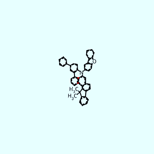 CC1(C)c2ccccc2-c2ccc3cc(N(c4ccc5oc6ccccc6c5c4)c4ccc(-c5ccccc5)cc4-c4ccccc4)ccc3c21